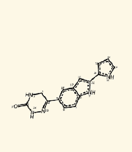 O=C1NCC(c2ccc3[nH]c(-c4ccc[nH]4)cc3c2)=NN1